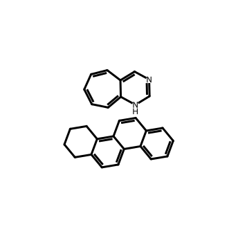 C1=CC=C2NC=NC=C2C=C1.c1ccc2c(c1)ccc1c3c(ccc12)CCCC3